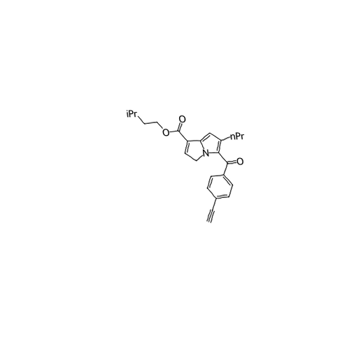 C#Cc1ccc(C(=O)c2c(CCC)cc3n2CC=C3C(=O)OCCC(C)C)cc1